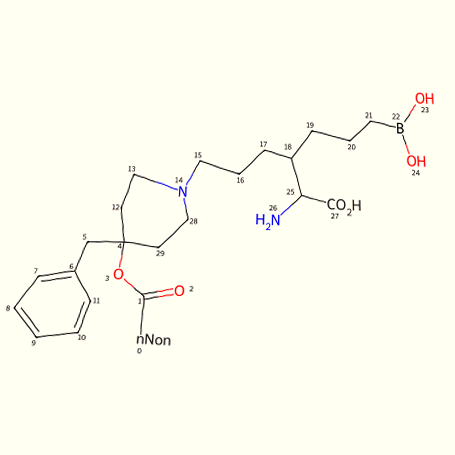 CCCCCCCCCC(=O)OC1(Cc2ccccc2)CCN(CCCC(CCCB(O)O)C(N)C(=O)O)CC1